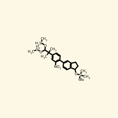 C[SiH2]OC(O[SiH2]C)C(C)(C)c1ccc(-c2ccc3c(c2)CCC3O[Si](C)(C)C(C)(C)C)c([N+](=O)[O-])c1